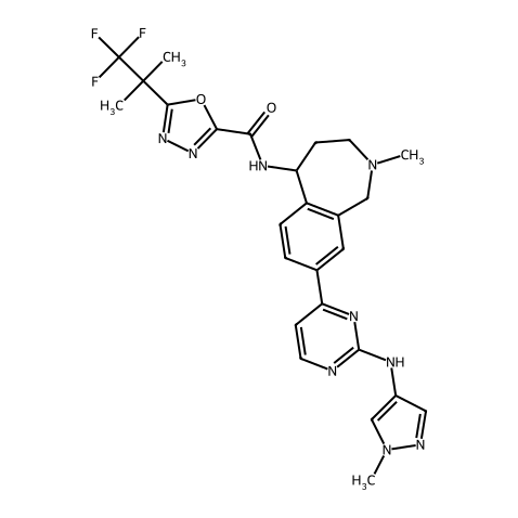 CN1CCC(NC(=O)c2nnc(C(C)(C)C(F)(F)F)o2)c2ccc(-c3ccnc(Nc4cnn(C)c4)n3)cc2C1